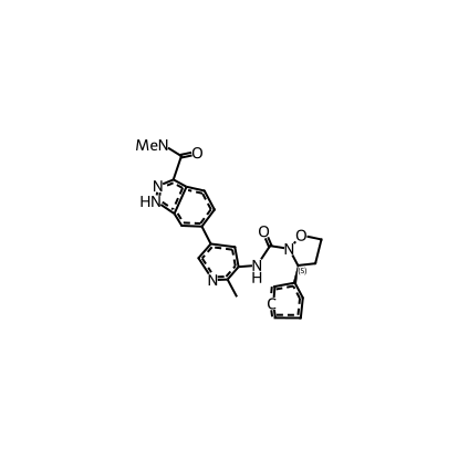 CNC(=O)c1n[nH]c2cc(-c3cnc(C)c(NC(=O)N4OCC[C@H]4c4ccccc4)c3)ccc12